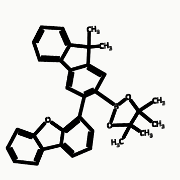 CC1(C)c2ccccc2-c2cc(-c3cccc4c3oc3ccccc34)c(B3OC(C)(C)C(C)(C)O3)cc21